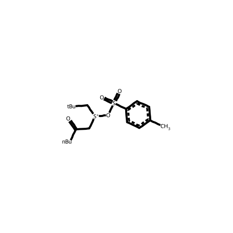 CCCCC(=O)C[S+](CC(C)(C)C)OS(=O)(=O)c1ccc(C)cc1